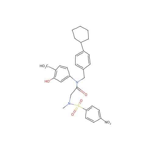 CN(CC(=O)N(Cc1ccc(C2CCCCC2)cc1)c1ccc(C(=O)O)c(O)c1)S(=O)(=O)c1ccc([N+](=O)[O-])cc1